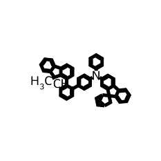 CC1(C)c2ccccc2-c2cccc(-c3ccccc3-c3ccc(N(c4ccccc4)c4ccc5c(c4)C4(CC6CCC4C6)c4ccccc4-5)cc3)c21